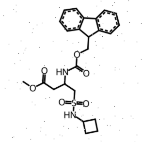 COC(=O)CC(CS(=O)(=O)NC1CCC1)NC(=O)OCC1c2ccccc2-c2ccccc21